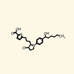 CCCCCC(O)c1ccc(N2CCC(Cl)C2CCCc2ccc(C(=O)O)s2)cc1